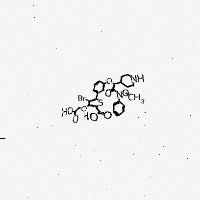 CON(C(=O)C(Oc1cccc(-c2sc(C(=O)O)c(OCC(=O)O)c2Br)c1)C1CCNCC1)c1ccccc1